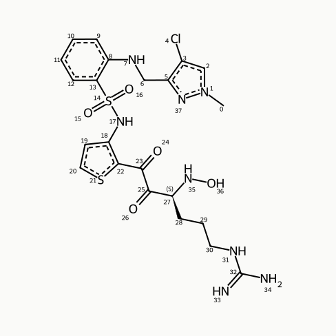 Cn1cc(Cl)c(CNc2ccccc2S(=O)(=O)Nc2ccsc2C(=O)C(=O)[C@H](CCCNC(=N)N)NO)n1